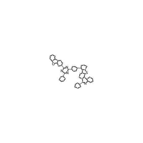 c1ccc(-c2nc(-c3ccc(-c4cccc5sc6c(ccc7c(-c8ccccc8)nc8ccccc8c76)c45)cc3)nc(-c3ccc4c(c3)oc3ccccc34)n2)cc1